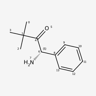 CC(C)(C)C(=O)[C@@H](N)c1ccccc1